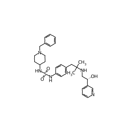 CC(C)(Cc1ccc(NS(=O)(=O)NC2CCN(Cc3ccccc3)CC2)cc1)NC[C@H](O)c1cccnc1